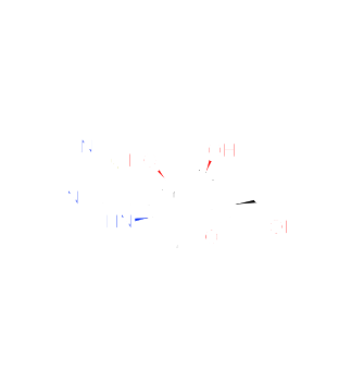 OC[C@H]1OC[C@@H](Nc2ncns2)[C@@H](O)[C@H]1O